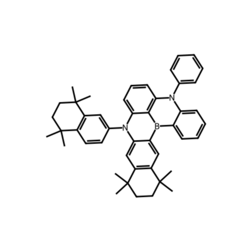 CC1(C)CCC(C)(C)c2cc(N3c4cc5c(cc4B4c6ccccc6N(c6ccccc6)c6cccc3c64)C(C)(C)CCC5(C)C)ccc21